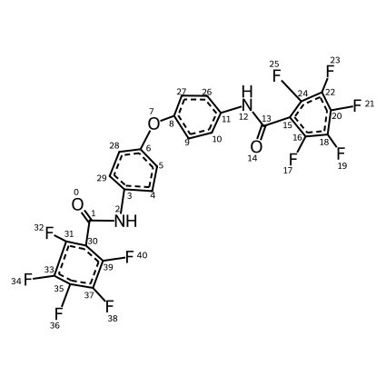 O=C(Nc1ccc(Oc2ccc(NC(=O)c3c(F)c(F)c(F)c(F)c3F)cc2)cc1)c1c(F)c(F)c(F)c(F)c1F